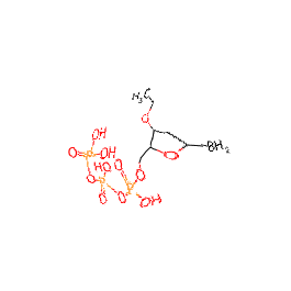 BC1CC(OCC)C(COP(=O)(O)OP(=O)(O)OP(=O)(O)O)O1